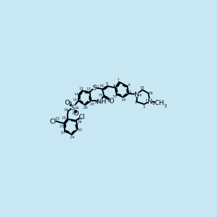 CN1CCN(c2ccc(/C=C3/Sc4ccc(S(=O)(=O)Cc5c(Cl)cccc5Cl)cc4NC3=O)cc2)CC1